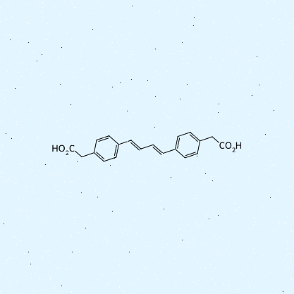 O=C(O)Cc1ccc(C=CC=Cc2ccc(CC(=O)O)cc2)cc1